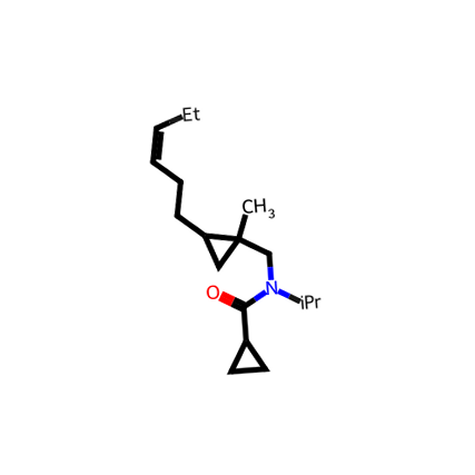 CC/C=C\CCC1CC1(C)CN(C(=O)C1CC1)C(C)C